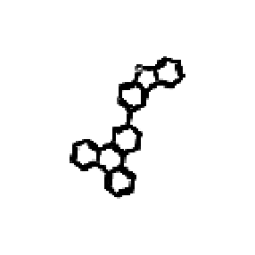 C1=C(c2ccc3oc4ccccc4c3c2)CCc2c1c1ccccc1c1ccccc21